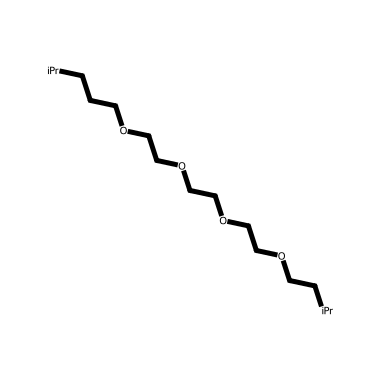 CC(C)CCCOCCOCCOCCOCCC(C)C